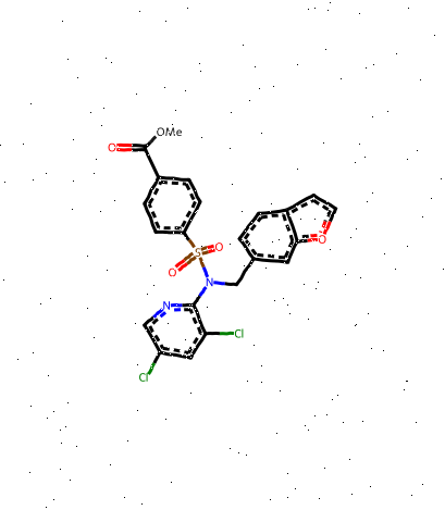 COC(=O)c1ccc(S(=O)(=O)N(Cc2ccc3ccoc3c2)c2ncc(Cl)cc2Cl)cc1